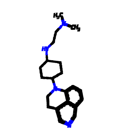 CN(C)CCNC1CCC(N2CCc3cncc4cccc2c34)CC1